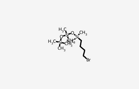 C[Si](C)(C)O[Si](C)(C)O[Si](C)(C)CCCCBr